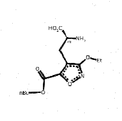 CCCCOC(=O)c1onc(OCC)c1C[C@H](N)C(=O)O